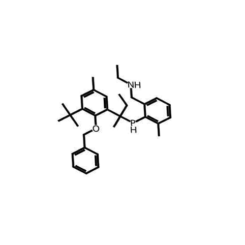 CCNCc1cccc(C)c1PC(C)(CC)c1cc(C)cc(C(C)(C)C)c1OCc1ccccc1